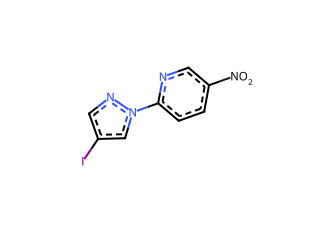 O=[N+]([O-])c1ccc(-n2cc(I)cn2)nc1